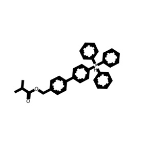 CC(C)C(=O)OCc1ccc(-c2ccc([PH](c3ccccc3)(c3ccccc3)c3ccccc3)cc2)cc1